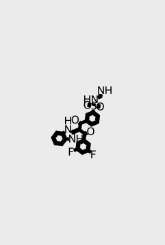 N=CNS(=O)(=O)c1cccc(C(=O)C(C(=O)c2cc(F)cc(F)c2)=C2Nc3ccccc3N2)c1